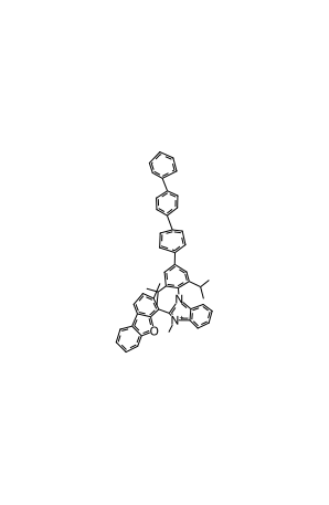 Cc1ccc2c(oc3ccccc32)c1-c1n(-c2c(C(C)C)cc(-c3ccc(-c4ccc(-c5ccccc5)cc4)cc3)cc2C(C)C)c2ccccc2[n+]1C